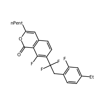 CCCCCc1cc2ccc(C(F)(F)Cc3ccc(CC)cc3F)c(F)c2c(=O)o1